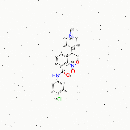 CC(c1cccc(C(=O)Nc2ccc(Cl)cc2)c1[N+](=O)[O-])C1CCN(C)CC1